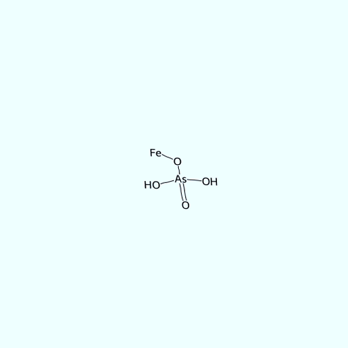 O=[As](O)(O)[O][Fe]